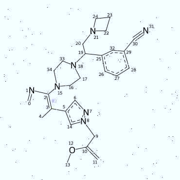 C=N/C(=C(\C)c1cnn(CC(=C)OC)c1)N1CCN(C(CN2CCC2)c2cccc(C#N)c2)CC1